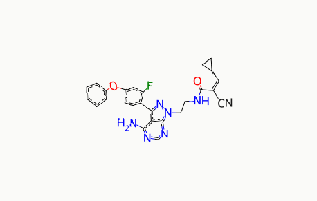 N#C/C(=C/C1CC1)C(=O)NCCn1nc(-c2ccc(Oc3ccccc3)cc2F)c2c(N)ncnc21